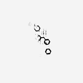 CCC(C)N1CCC(Nc2ncnc(N)c2C(=N)c2ccc(Oc3ccc(C(F)(F)F)cc3)cc2)CC1